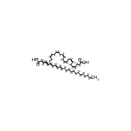 CC/C=C\C/C=C\C/C=C\C/C=C\C/C=C\C/C=C\CCC(=O)O.CCCCCCCCCCCCC/C=C/C=C/C=C/C=C/C=C/C(=O)O